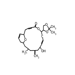 C=C1CC(O)/C=C\CC(C2COC(C)(C)O2)OC(=O)/C=C\CC2C=CCC(CC(C)C1)O2